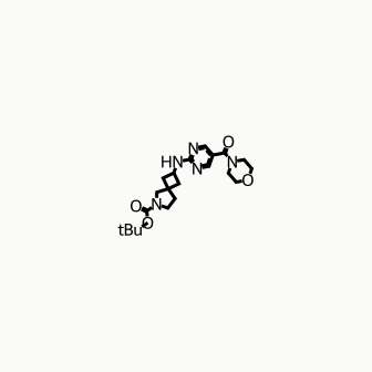 CC(C)(C)OC(=O)N1CCC2(CC(Nc3ncc(C(=O)N4CCOCC4)cn3)C2)C1